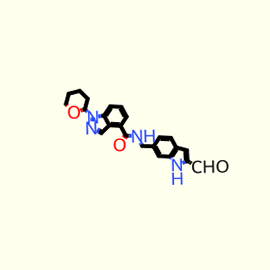 O=Cc1cc2ccc(CNC(=O)c3cccc4c3cnn4C3CCCCO3)cc2[nH]1